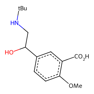 COc1ccc(C(O)CNC(C)(C)C)cc1C(=O)O